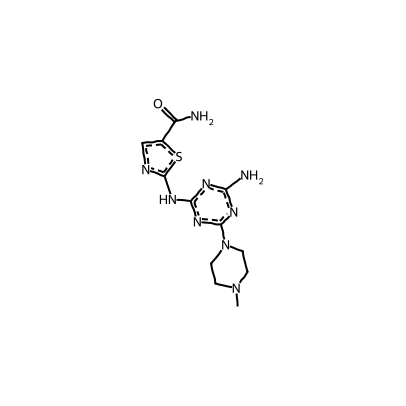 CN1CCN(c2nc(N)nc(Nc3ncc(C(N)=O)s3)n2)CC1